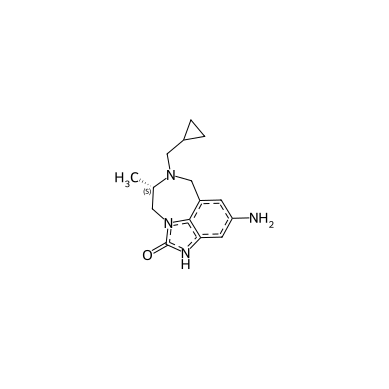 C[C@H]1Cn2c(=O)[nH]c3cc(N)cc(c32)CN1CC1CC1